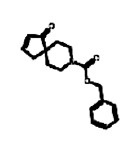 O=C(OCc1ccccc1)N1CCC2(CC=CC2=O)CC1